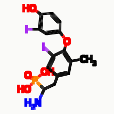 Cc1cc(CC(N)P(=O)(O)O)cc(I)c1Oc1ccc(O)c(I)c1